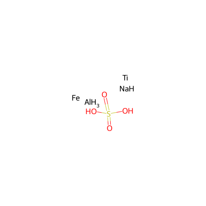 O=S(=O)(O)O.[AlH3].[Fe].[NaH].[Ti]